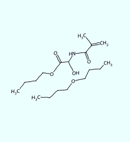 C=C(C)C(=O)NC(O)C(=O)OCCCC.CCCCOCCCC